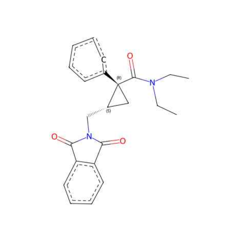 CCN(CC)C(=O)[C@]1(c2ccccc2)C[C@@H]1CN1C(=O)c2ccccc2C1=O